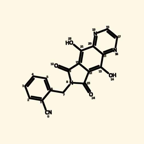 N#Cc1ccccc1CN1C(=O)c2c(c(O)c3nccnc3c2O)C1=O